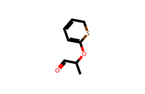 CC([C]=O)OC1=CC=CCS1